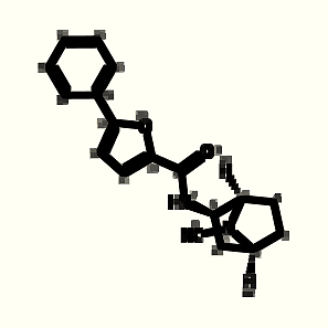 N#CN1[C@H]2CC[C@@H]1[C@H](NC(=O)c1ccc(-c3ccccc3)o1)C2